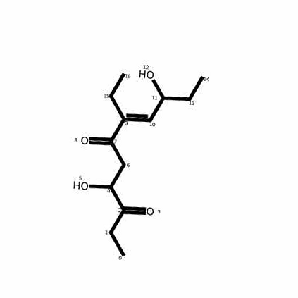 CCC(=O)C(O)CC(=O)C(=CC(O)CC)CC